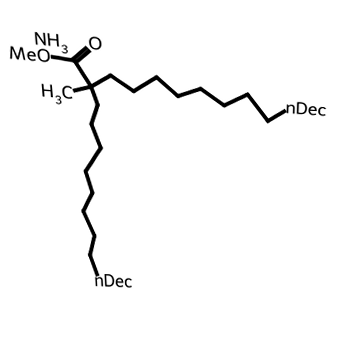 CCCCCCCCCCCCCCCCCCC(C)(CCCCCCCCCCCCCCCCCC)C(=O)OC.N